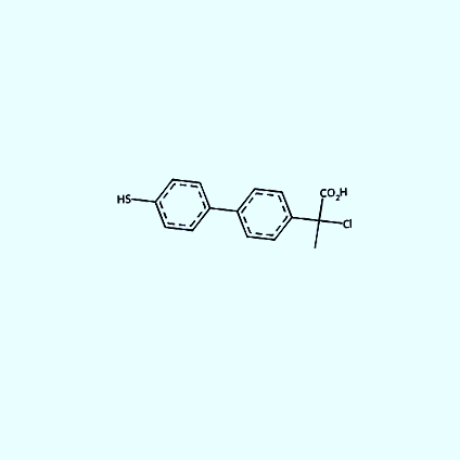 CC(Cl)(C(=O)O)c1ccc(-c2ccc(S)cc2)cc1